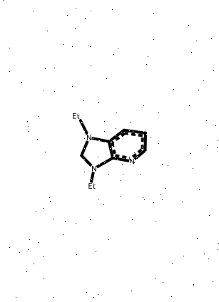 CCN1CN(CC)c2ncccc21